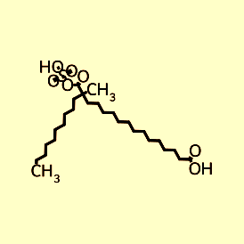 CCCCCCCCCCC(C)(CCCCCCCCCCCCCC(=O)O)C(=O)OS(=O)(=O)O